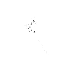 CCCCCCCCCCCCCCOC(=O)c1ccc(C)c(N/C(=C/C(=O)OCC)OCC)c1